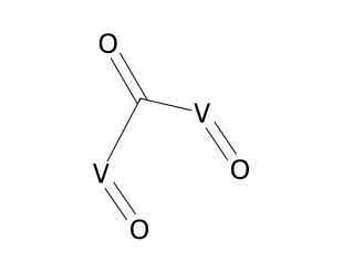 [O]=[V][C](=O)[V]=[O]